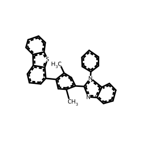 Cc1cc(-c2nc3ccccc3n2-c2ccccc2)c(C)cc1-c1cccc2c1sc1ccccc12